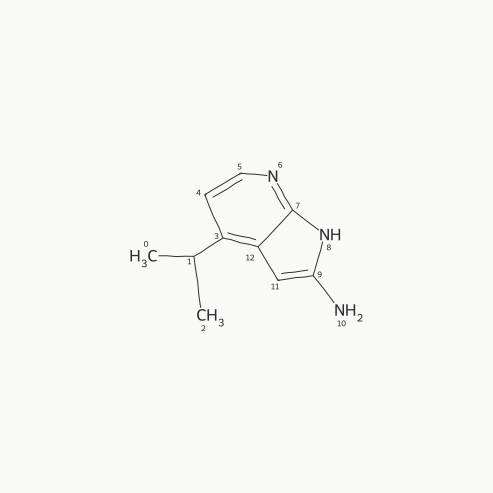 CC(C)c1ccnc2[nH]c(N)cc12